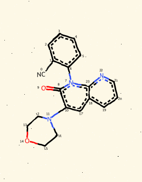 N#Cc1ccccc1-n1c(=O)c(N2CCOCC2)cc2cccnc21